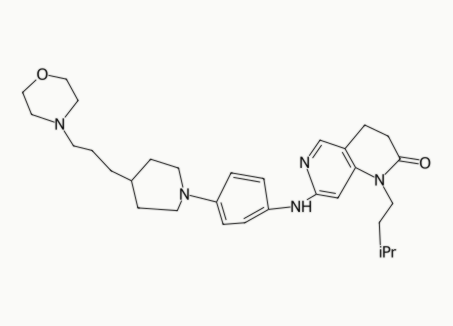 CC(C)CCN1C(=O)CCc2cnc(Nc3ccc(N4CCC(CCCN5CCOCC5)CC4)cc3)cc21